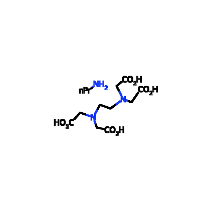 CCCN.O=C(O)CN(CCN(CC(=O)O)CC(=O)O)CC(=O)O